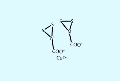 O=C([O-])n1ss1.O=C([O-])n1ss1.[Cu+2]